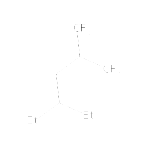 CCC(CC)CC(C(F)(F)F)C(F)(F)F